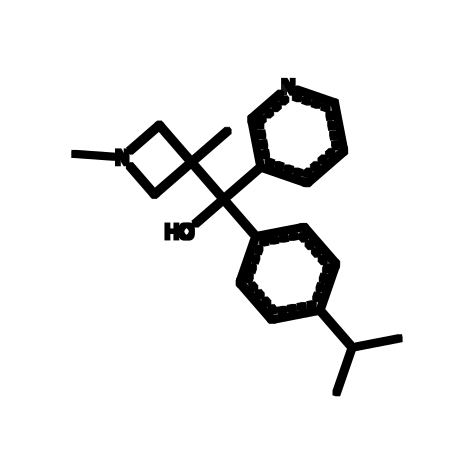 CC(C)c1ccc(C(O)(c2cccnc2)C2(C)CN(C)C2)cc1